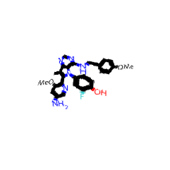 COc1ccc(CNc2ncnc3c(C)c(-c4ncc(N)cc4OC)n(-c4ccc(O)c(F)c4)c23)cc1